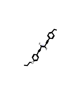 CCCOc1ccc(C#C/C(F)=C(\F)C#Cc2ccc(CC)cc2)cc1